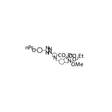 CCCOc1ccc(-c2nnn(C3CC(C(=O)OCC)N(CC4CCC5CN(C(=O)OC)C(C(=O)OCC)CC5C4)C3)n2)cc1